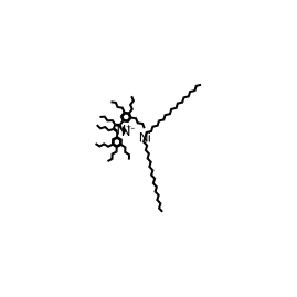 CCCCC1=C(c2cc(CCCC)c(CCCC)c(CCCC)c2)[N+](=[N-])C(c2cc(CCCC)c(CCCC)c(CCCC)c2)=C1CCCC.CCCCCCCCCCCCCCCCC[CH2][Ni][CH2]CCCCCCCCCCCCCCCCC